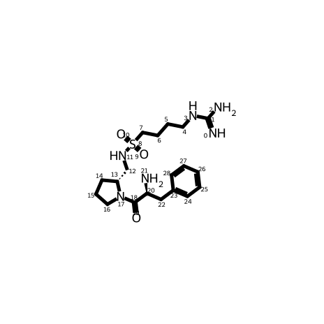 N=C(N)NCCCCS(=O)(=O)NC[C@H]1CCCN1C(=O)[C@@H](N)Cc1ccccc1